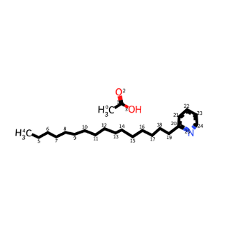 CC(=O)O.CCCCCCCCCCCCCCCCc1ccccn1